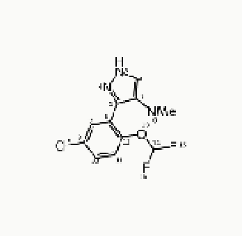 CNc1c[nH]nc1-c1cc(Cl)ccc1OC(F)F